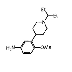 CCC(CC)N1CCC(c2cc(N)ccc2OC)CC1